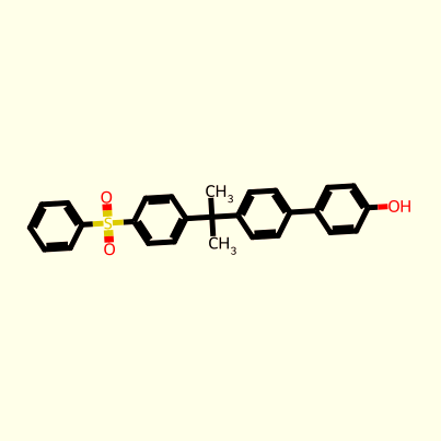 CC(C)(c1ccc(-c2ccc(O)cc2)cc1)c1ccc(S(=O)(=O)c2ccccc2)cc1